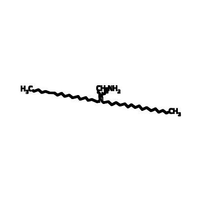 CCCCCCCCCCCCCCCCCCN(CCCCCCCCCCCCCCCCCC)N(CC)CCN